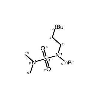 CCCN(CCC(C)(C)C)S(=O)(=O)N(C)C